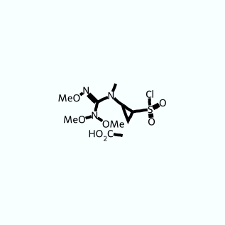 CC(=O)O.CON=C(N(OC)OC)N(C)C1CC1S(=O)(=O)Cl